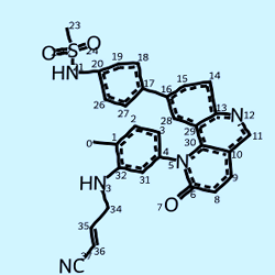 Cc1ccc(-n2c(=O)ccc3cnc4ccc(-c5ccc(NS(C)(=O)=O)cc5)cc4c32)cc1NC/C=C/C#N